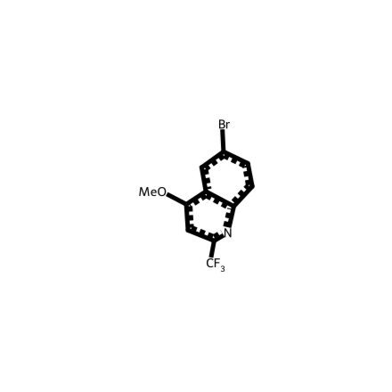 COc1cc(C(F)(F)F)nc2ccc(Br)cc12